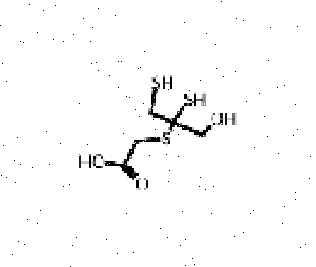 O=C(O)CSC(S)(CO)CS